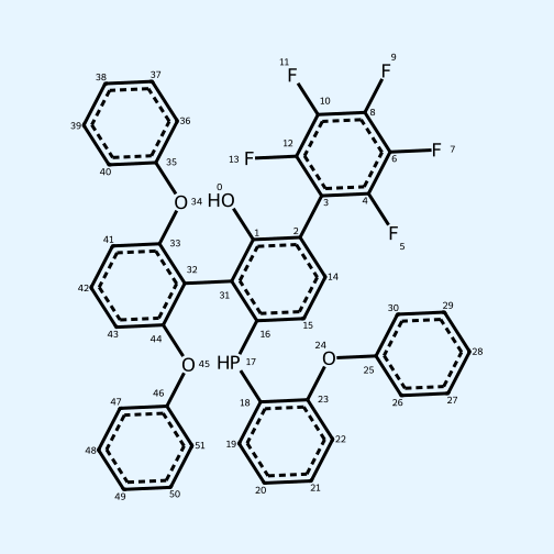 Oc1c(-c2c(F)c(F)c(F)c(F)c2F)ccc(Pc2ccccc2Oc2ccccc2)c1-c1c(Oc2ccccc2)cccc1Oc1ccccc1